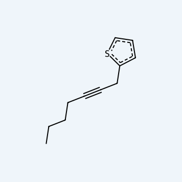 CCCCC#CCc1cccs1